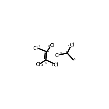 CC(Cl)Cl.ClC(Cl)=C(Cl)Cl